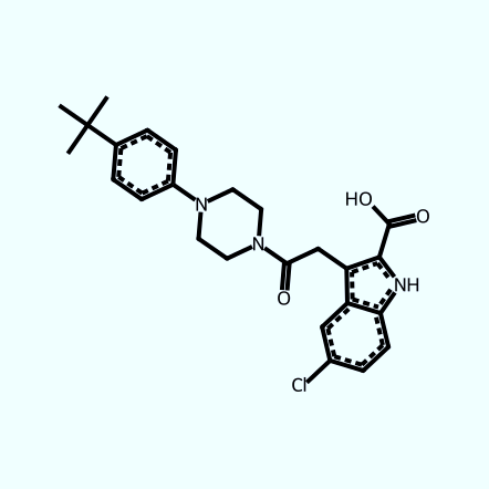 CC(C)(C)c1ccc(N2CCN(C(=O)Cc3c(C(=O)O)[nH]c4ccc(Cl)cc34)CC2)cc1